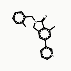 Cc1cc(-c2cccnc2)cc2c1C(=O)N(Cc1ccccc1F)C2